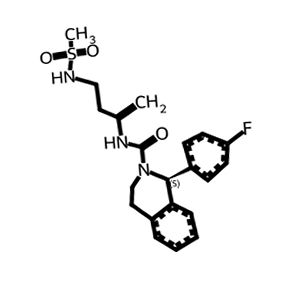 C=C(CCNS(C)(=O)=O)NC(=O)N1CCc2ccccc2[C@@H]1c1ccc(F)cc1